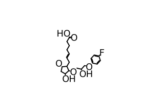 O=C(O)CCC/C=C/CC1C(=O)CC(O)C1OCC(O)COc1ccc(F)cc1